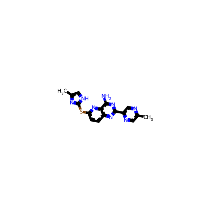 Cc1cnc(-c2nc(N)c3nc(Sc4nc(C)c[nH]4)ccc3n2)cn1